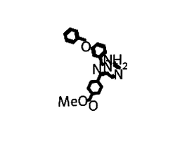 COC(=O)C1CCC(C2=C3C=NC=C[N+]3(N)C(c3cccc(OCc4ccccc4)c3)=N2)CC1